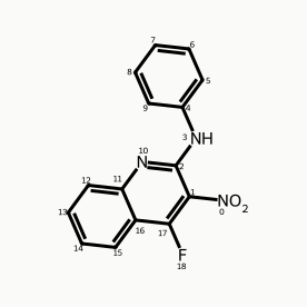 O=[N+]([O-])c1c(Nc2ccccc2)nc2ccccc2c1F